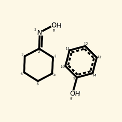 ON=C1CCCCC1.Oc1ccccc1